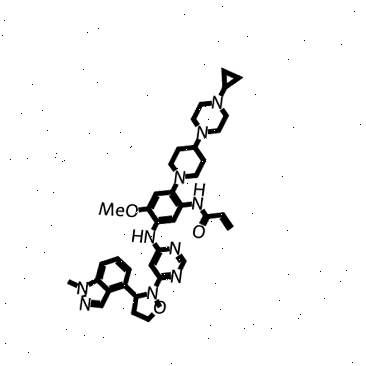 C=CC(=O)Nc1cc(Nc2cc(N3OCCC3c3cccc4c3cnn4C)ncn2)c(OC)cc1N1CCC(N2CCN(C3CC3)CC2)CC1